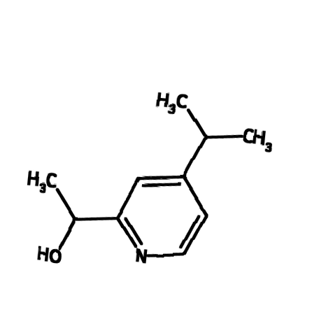 CC(C)c1ccnc(C(C)O)c1